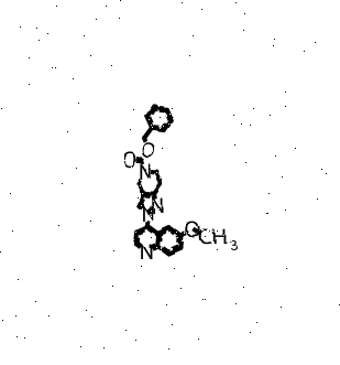 COc1ccc2nccc(-n3cc4c(n3)CCN(C(=O)OCc3ccccc3)C4)c2c1